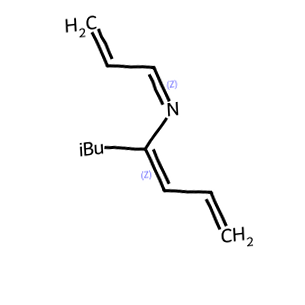 C=C/C=N\C(=C/C=C)C(C)CC